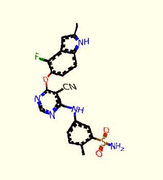 Cc1cc2c(F)c(Oc3ncnc(Nc4ccc(C)c(S(N)(=O)=O)c4)c3C#N)ccc2[nH]1